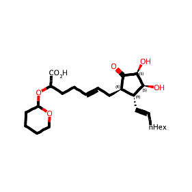 CCCCCCC=C[C@H]1[C@H](O)[C@H](O)C(=O)[C@@H]1CC=CCCC(OC1CCCCO1)C(=O)O